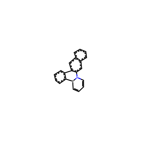 C1=CB2c3ccccc3-c3cc4ccccc4cc3N2C=C1